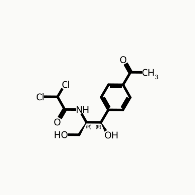 CC(=O)c1ccc([C@@H](O)[C@@H](CO)NC(=O)C(Cl)Cl)cc1